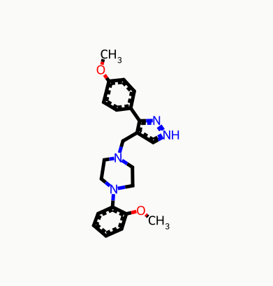 COc1ccc(-c2n[nH]cc2CN2CCN(c3ccccc3OC)CC2)cc1